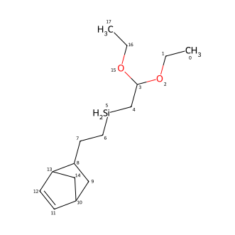 CCOC(C[SiH2]CCC1CC2C=CC1C2)OCC